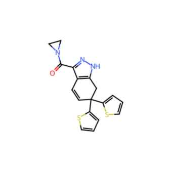 O=C(c1n[nH]c2c1C=CC(c1cccs1)(c1cccs1)C2)N1CC1